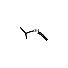 C=C=[SiH]C(C)C